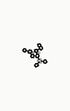 c1ccc(-c2ccc3c(c2)c2ccccc2n3-c2ccc(-c3cccc4ccccc34)c3oc4cc(-c5nc(-c6ccccc6)nc(-c6ccccc6)n5)ccc4c23)cc1